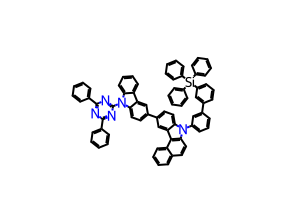 c1ccc(-c2nc(-c3ccccc3)nc(-n3c4ccccc4c4cc(-c5ccc6c(c5)c5c7ccccc7ccc5n6-c5cccc(-c6cccc([Si](c7ccccc7)(c7ccccc7)c7ccccc7)c6)c5)ccc43)n2)cc1